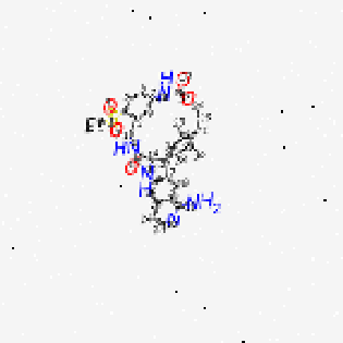 CCS(=O)(=O)c1ccc2cc1CNC(=O)C(Nc1ccc3c(N)nccc3c1)c1cc(C)c(c(C)c1)CCOC(=O)N2